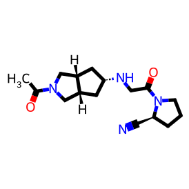 CC(=O)N1C[C@H]2C[C@@H](NCC(=O)N3CCC[C@H]3C#N)C[C@H]2C1